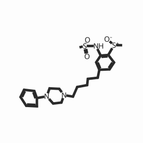 C[S+]([O-])c1ccc(CCCCCN2CCN(c3ccccc3)CC2)cc1NS(C)(=O)=O